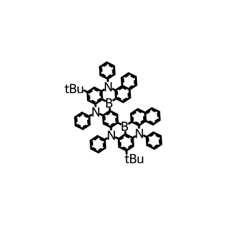 CC(C)(C)c1cc2c3c(c1)N(c1ccccc1)c1c(ccc4ccccc14)B3c1cc3c(cc1N2c1ccccc1)N(c1ccccc1)c1cc(C(C)(C)C)cc2c1B3c1ccc3ccccc3c1N2c1ccccc1